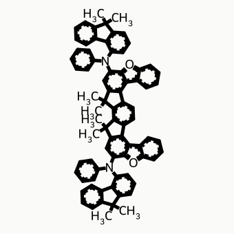 CC1(C)c2ccccc2-c2c(N(c3ccccc3)c3cc4c(c5c3oc3ccccc35)-c3ccc5c(c3C4(C)C)C(C)(C)c3cc(N(c4ccccc4)c4cccc6c4-c4ccccc4C6(C)C)c4oc6ccccc6c4c3-5)cccc21